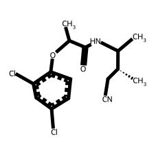 CC(Oc1ccc(Cl)cc1Cl)C(=O)NC(C)[C@H](C)CC#N